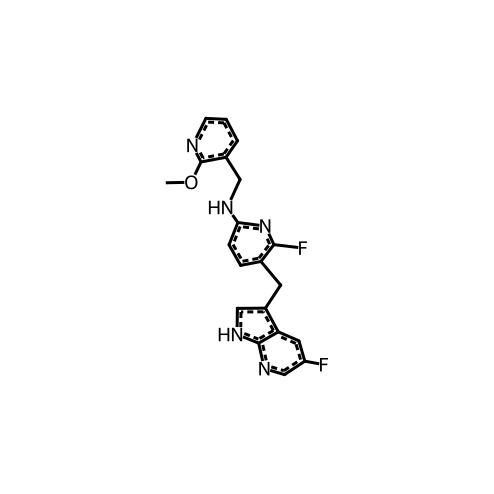 COc1ncccc1CNc1ccc(Cc2c[nH]c3ncc(F)cc23)c(F)n1